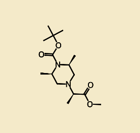 COC(=O)[C@@H](C)N1C[C@@H](C)N(C(=O)OC(C)(C)C)[C@@H](C)C1